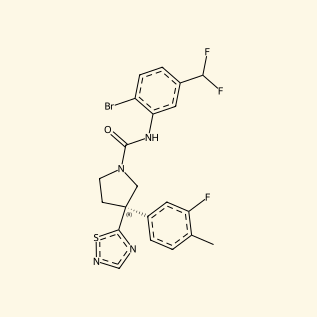 Cc1ccc([C@]2(c3ncns3)CCN(C(=O)Nc3cc(C(F)F)ccc3Br)C2)cc1F